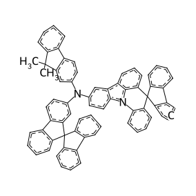 CC1(C)c2ccccc2-c2ccc(N(c3ccc4c(c3)C3(c5ccccc5-c5ccccc53)c3ccccc3-4)c3ccc4c(c3)c3cccc5c3n4-c3ccccc3C53c4ccccc4-c4ccccc43)cc21